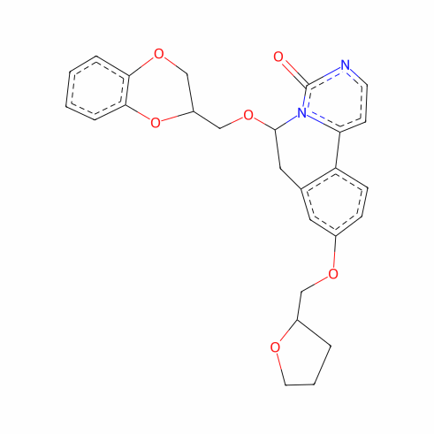 O=c1nccc2n1C(OCC1COc3ccccc3O1)Cc1cc(OCC3CCCO3)ccc1-2